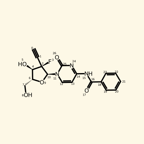 C#C[C@@]1(F)[C@H](O)[C@@H](CO)O[C@@H]1n1ccc(NC(=O)c2ccccc2)nc1=O